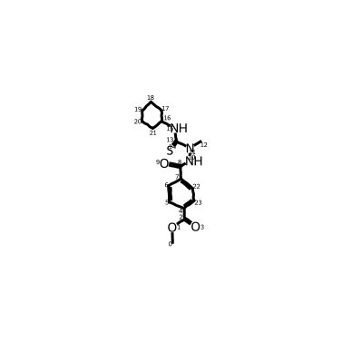 COC(=O)c1ccc(C(=O)NN(C)C(=S)NC2CCCCC2)cc1